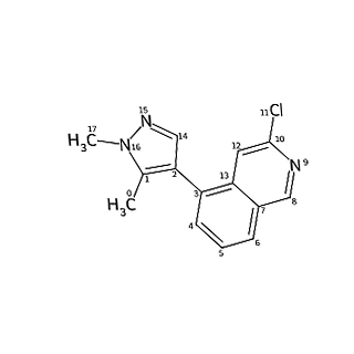 Cc1c(-c2cccc3cnc(Cl)cc23)cnn1C